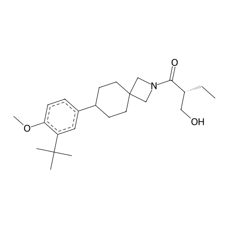 CC[C@H](CO)C(=O)N1CC2(CCC(c3ccc(OC)c(C(C)(C)C)c3)CC2)C1